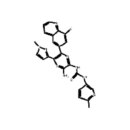 Cc1ccc(NC(=O)Nc2nc(-c3cc(Cl)c4ncccc4c3)c(-c3ccn(C)n3)nc2N)cn1